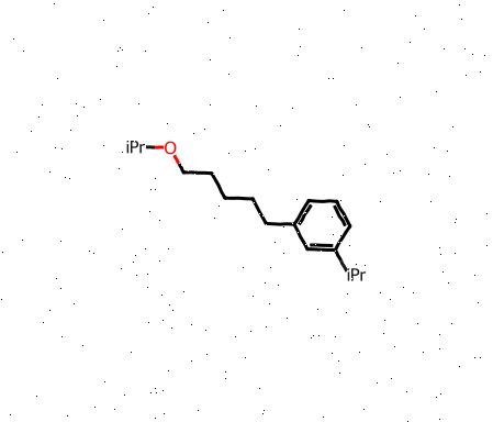 CC(C)OCCCCCc1cccc(C(C)C)c1